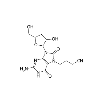 N#CCCCn1c(=O)n(C2OC(CO)CC2O)c2nc(N)[nH]c(=O)c21